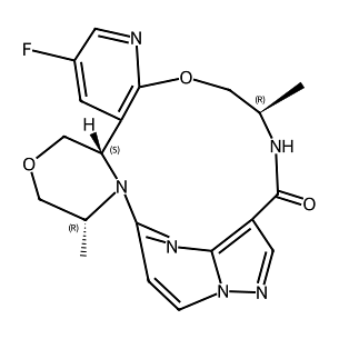 C[C@@H]1COc2ncc(F)cc2[C@H]2COC[C@@H](C)N2c2ccn3ncc(c3n2)C(=O)N1